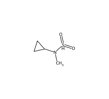 CN(C1CC1)[SH](=O)=O